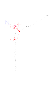 CCCCCCCCCCCCCCCC(=O)OCC(COP(O)OCC([O-])[N+](C)(C)C)OC(=O)CCCCCCCCCCCCCCC